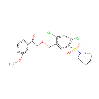 COc1cccc(C(=O)COCc2cc(S(=O)(=O)N3CCCCC3)c(Cl)cc2Cl)c1